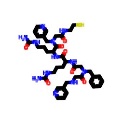 NC(=O)NCCCC(NC(=O)CN(Cc1ccccc1)C(=O)CNCc1cccnc1)C(=O)NC(CCCNC(N)=O)C(=O)N(CC(=O)NCCS)Cc1cccnc1